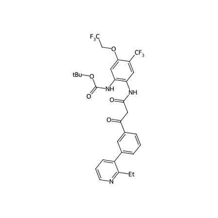 CCc1ncccc1-c1cccc(C(=O)CC(=O)Nc2cc(C(F)(F)F)c(OCC(F)(F)F)cc2NC(=O)OC(C)(C)C)c1